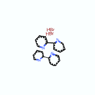 Br.Br.c1ccc(-c2ccccn2)nc1.c1ccc(-c2ccccn2)nc1